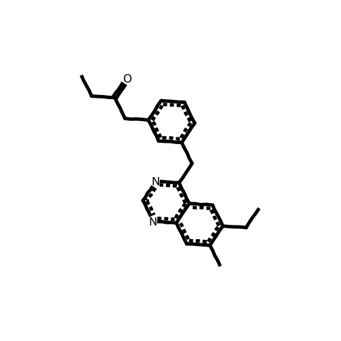 CCC(=O)Cc1cccc(Cc2ncnc3cc(C)c(CC)cc23)c1